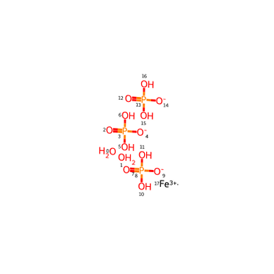 O.O.O=P([O-])(O)O.O=P([O-])(O)O.O=P([O-])(O)O.[Fe+3]